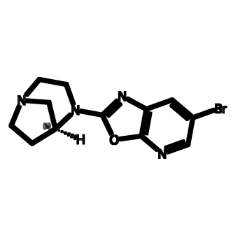 Brc1cnc2oc(N3CCN4CC[C@H]3C4)nc2c1